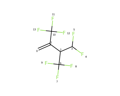 C=C(C(C(F)F)C(F)(F)F)C(F)(F)F